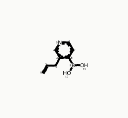 C=CCc1cnccc1B(O)O